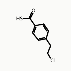 O=C(S)c1ccc(CCCl)cc1